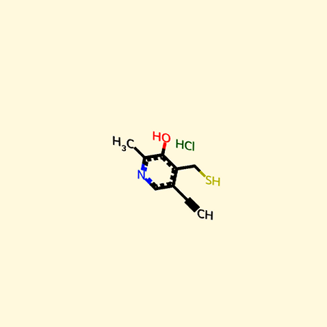 C#Cc1cnc(C)c(O)c1CS.Cl